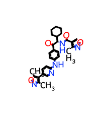 Cc1nocc1C(=O)N[C@H](C(=O)c1ccc(Nc2ccc(-c3c(C)noc3C)cn2)cc1)C1CCCCC1